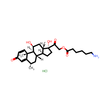 C[C@H]1C[C@@H]2[C@H]([C@@H](O)C[C@@]3(C)[C@H]2CC[C@]3(O)C(=O)COC(=O)CCCCCN)[C@@]2(C)C=CC(=O)C=C12.Cl